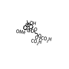 COc1ccc(C)c2c1O[C@H]1C(OC(=O)CCC(=O)O[C@@H](CC(=O)O)C(=O)O)=CC[C@@]3(O)[C@@H](C)N(C)CC[C@]213